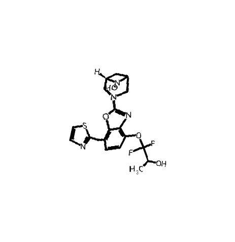 CC(O)C(F)(F)Oc1ccc(-c2nccs2)c2oc(N3CC4C[C@@H](C3)N4O)nc12